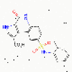 Cc1ccccc1NS(=O)(=O)c1ccc2[nH]c(=O)c3[nH]cc(C(=O)O)c3c2c1